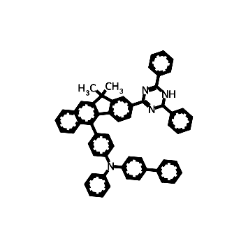 CC1(C)c2cc(C3=NC(c4ccccc4)NC(c4ccccc4)=N3)ccc2-c2c1cc1ccccc1c2-c1ccc(N(c2ccccc2)c2ccc(-c3ccccc3)cc2)cc1